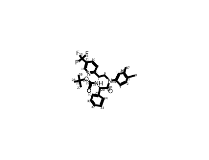 Cc1ccc(N(CCc2ccc(C(F)(F)F)cn2)C(=O)[C@@H](NC(=O)OC(C)(C)C)c2ccccc2)cc1C